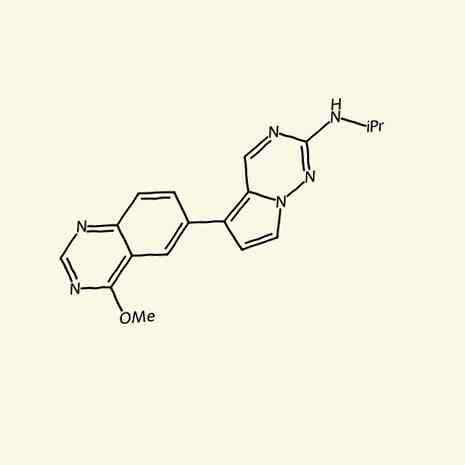 COc1ncnc2ccc(-c3ccn4nc(NC(C)C)ncc34)cc12